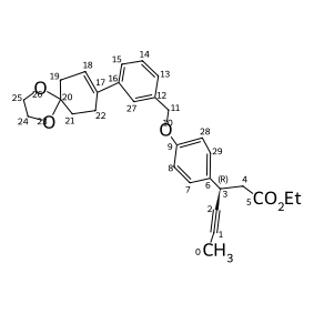 CC#C[C@H](CC(=O)OCC)c1ccc(OCc2cccc(C3=CCC4(CC3)OCCO4)c2)cc1